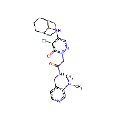 CN(C)c1cnccc1CNC(=O)Cn1ncc(NC2C3CCCC2CCC3)c(Cl)c1=O